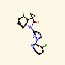 O=C(Nc1ccn(-c2ncccc2F)n1)C1(c2ccccc2F)CC1